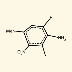 CNc1cc(F)c(N)c(C)c1[N+](=O)[O-]